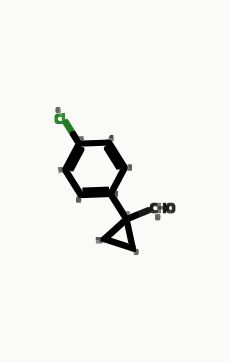 O=CC1(c2ccc(Cl)cc2)CC1